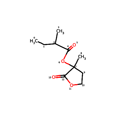 CCC(C)C(=O)OC1(C)CCOC1=O